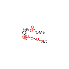 CCOCCOCCOCCOS(=O)(=O)c1ccc(C)cc1.COCCC(=O)OC(C)(C)C